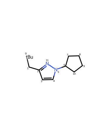 CC(C)(C)Cc1ccn(C2CCCC2)n1